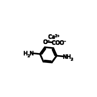 Nc1ccc(N)cc1.O=C([O-])[O-].[Ca+2]